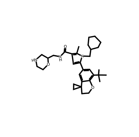 Cc1c(C(=O)NCC2CNCCO2)cc(-c2cc(C(C)(C)C)c3c(c2)C2(CCO3)CC2)n1CC1CCCCC1